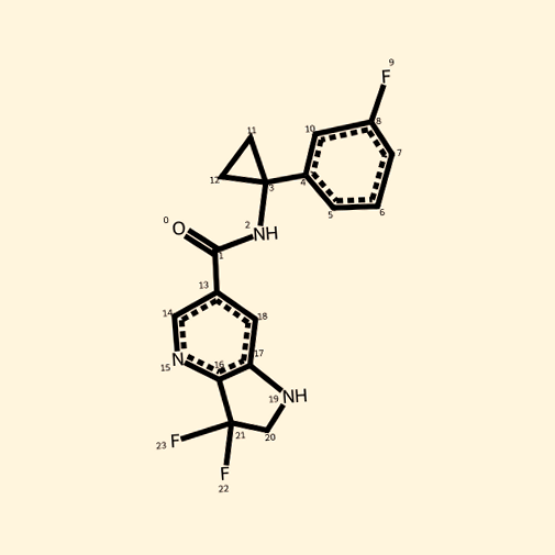 O=C(NC1(c2cccc(F)c2)CC1)c1cnc2c(c1)NCC2(F)F